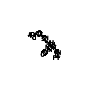 CC(C)(C)OC(=O)N1CCC=C(c2cnc(CNc3nc(N4CCOCC4)nc4c3ncn4-c3cnn(C(F)F)c3)s2)C1